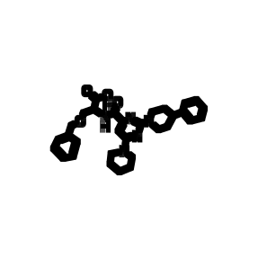 O=C(NC(COCc1ccccc1)C(=O)O)c1cc(N2CCCCC2)nc(N2CCC(c3ccccc3)CC2)n1